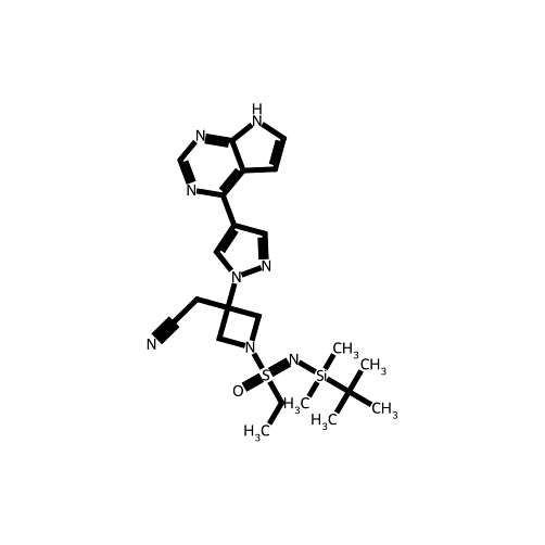 CCS(=O)(=N[Si](C)(C)C(C)(C)C)N1CC(CC#N)(n2cc(-c3ncnc4[nH]ccc34)cn2)C1